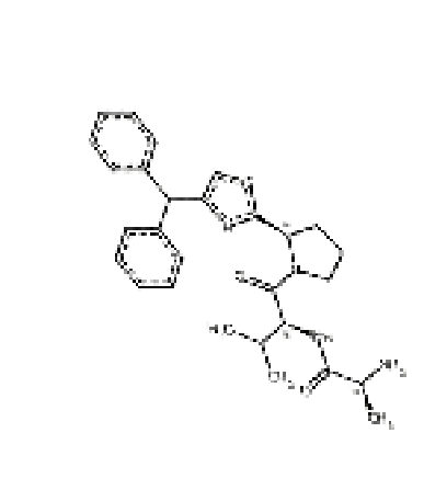 CC(C)[C@H](NC(=O)[C@H](C)N)C(=O)N1CCC[C@@H]1c1nc(C(c2ccccc2)c2ccccc2)cs1